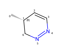 C[C@@H]1C=CN=NC1